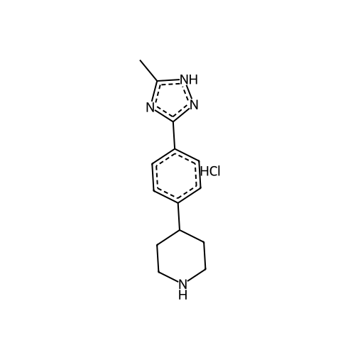 Cc1nc(-c2ccc(C3CCNCC3)cc2)n[nH]1.Cl